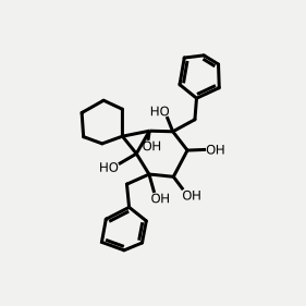 OC1C(O)C(O)(Cc2ccccc2)C2(O)C3(CCCCC3)C2(O)C1(O)Cc1ccccc1